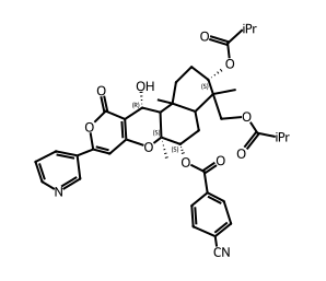 CC(C)C(=O)OCC1(C)C2C[C@H](OC(=O)c3ccc(C#N)cc3)[C@@]3(C)Oc4cc(-c5cccnc5)oc(=O)c4[C@H](O)C3C2(C)CC[C@@H]1OC(=O)C(C)C